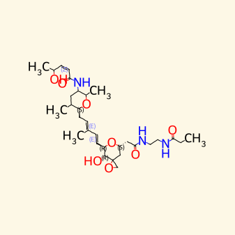 CCC(=O)NCCNC(=O)C[C@@H]1CC2(CO2)[C@H](O)[C@@H](/C=C/C(C)=C/C[C@@H]2OC(C)C(NC(=O)/C=C\C(C)O)CC2C)O1